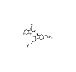 NCc1ccc2c(c1)nc(Cn1c(=O)n(C3CC3)c3ccncc31)n2CCCCF